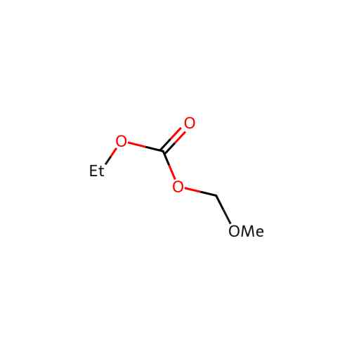 CCOC(=O)OCOC